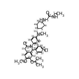 CCNC(=O)CN[C@H]1CC[C@H](CN(C)c2ccc(N3C(=O)Cc4cc(OC)c(OC(C)C)cc4[C@@H]3c3ccc(Cl)cc3)cn2)CC1